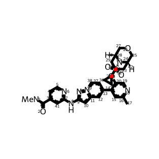 CNC(=O)c1ccnc(Nc2cc3cc(-c4cc(C)ncc4OC4C[C@H]5COC[C@@H](C4)N5S(=O)(=O)C4CC4)ccn3n2)c1